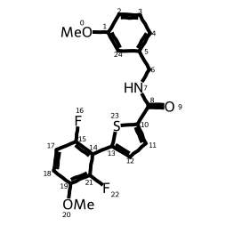 COc1cccc(CNC(=O)c2ccc(-c3c(F)ccc(OC)c3F)s2)c1